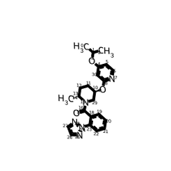 CC(C)Oc1ccnc(O[C@@H]2CC[C@@H](C)N(C(=O)c3ccccc3-n3nccn3)C2)c1